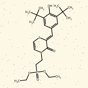 CCOP(=O)(CCN1C=CSC(=Cc2cc(C(C)(C)C)c(O)c(C(C)(C)C)c2)C1=O)OCC